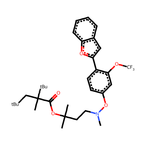 CN(CCC(C)(C)OC(=O)C(C)(CC(C)(C)C)C(C)(C)C)Oc1ccc(-c2cc3ccccc3o2)c(OC(F)(F)F)c1